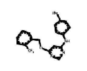 CC(C)(C)c1ccc(Nc2cc(OCc3ccccc3C(F)(F)F)ncn2)cc1